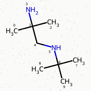 CC(C)(N)CNC(C)(C)C